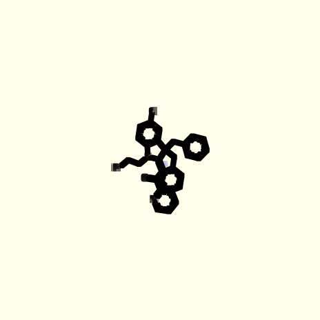 CC(C)CCN1/C(=C\C(=O)c2ccccn2)C(Cc2ccccc2)(Cc2ccccc2)c2cc(Cl)ccc21